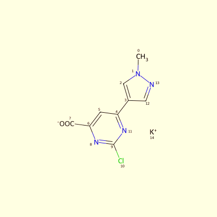 Cn1cc(-c2cc(C(=O)[O-])nc(Cl)n2)cn1.[K+]